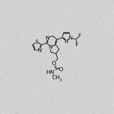 CNS(=O)OCC1CC2=C(c3ccn(C(F)F)n3)CN=C(c3nccs3)N2C1